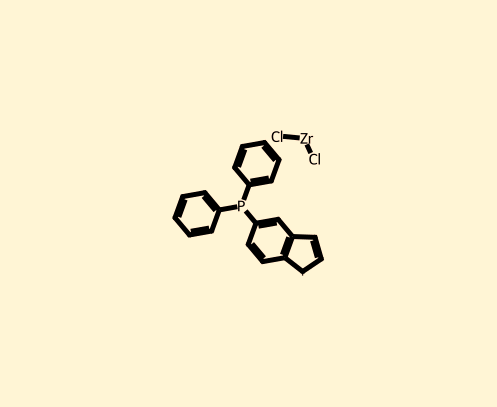 [CH]1C=Cc2cc(P(c3ccccc3)c3ccccc3)ccc21.[Cl][Zr][Cl]